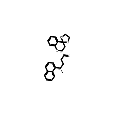 C[C@@H](CCC(=O)[C@H]1CC2(OCCO2)c2ccccc2O1)c1cccc2ccccc12